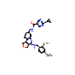 COc1ccc(CNc2nc3cc(CNC(=O)c4cnc(C5CC5)nc4)ccc3c3c2COC3)c(OC)c1